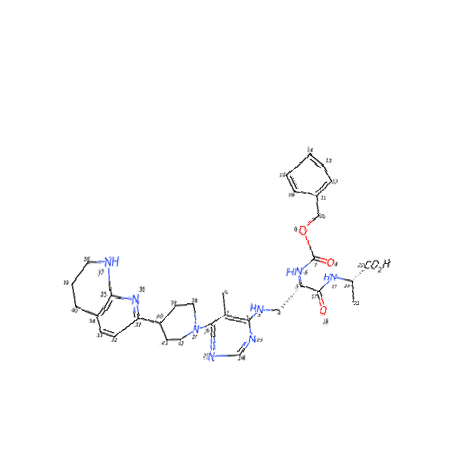 Cc1c(NC[C@H](NC(=O)OCc2ccccc2)C(=O)N[C@@H](C)C(=O)O)ncnc1N1CCC(c2ccc3c(n2)NCCC3)CC1